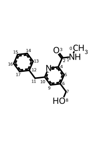 CNC(=O)c1cc(CO)cc(Cc2ccccc2)n1